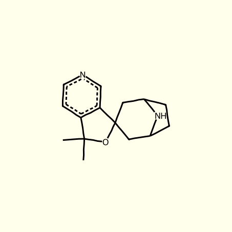 CC1(C)OC2(CC3CCC(C2)N3)c2cnccc21